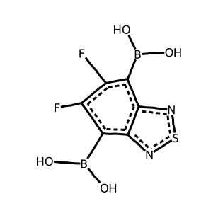 OB(O)c1c(F)c(F)c(B(O)O)c2nsnc12